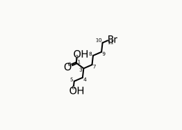 O=C(O)C(CCO)CCCCBr